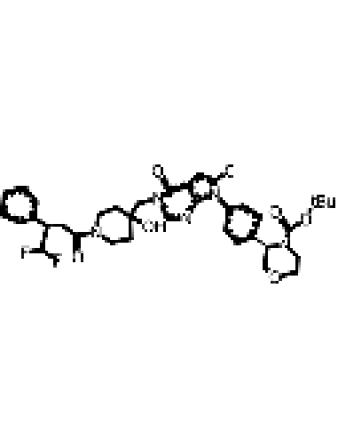 CC(C)(C)OC(=O)N1CCOC[C@H]1c1ccc(-n2c(Cl)cc3c(=O)n(CC4(O)CCN(C(=O)C[C@H](c5ccccc5)C(F)F)CC4)cnc32)cc1